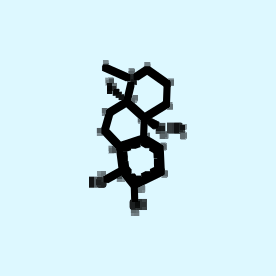 Br.CN1CCC[C@@H]2c3ccc(O)c(O)c3CC[C@H]21